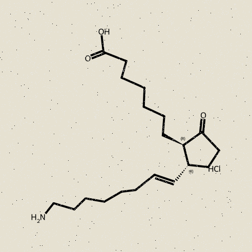 Cl.NCCCCCCC=C[C@H]1CCC(=O)[C@@H]1CCCCCCC(=O)O